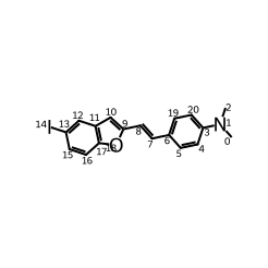 CN(C)c1ccc(/C=C/c2cc3cc(I)ccc3o2)cc1